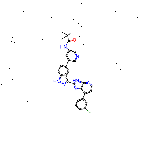 CC(C)(C)C(=O)Nc1cncc(-c2ccc3[nH]nc(-c4nc5c(-c6cccc(F)c6)ccnc5[nH]4)c3c2)c1